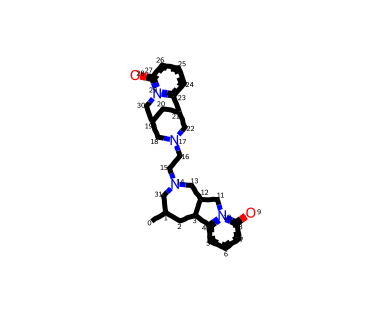 CC1CC2c3cccc(=O)n3CC2CN(CCN2CC3CC(C2)c2cccc(=O)n2C3)C1